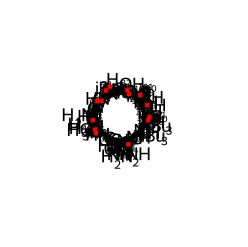 CCCC[C@H]1C(=O)N(C)[C@@H](CCCC)C(=O)N[C@@H](CCCNC(=N)N)C(=O)N[C@H](C(=O)NCC(N)=O)CSCC(=O)N[C@@H](Cc2ccc(O)cc2)C(=O)N(C)[C@@H](C)C(=O)N[C@@H](CC(N)=O)C(=O)N2CCC[C@H]2C(=O)N[C@@H](Cc2ccc[nH]2)C(=O)N[C@@H](CC(C)C)C(=O)N2C[C@H](O)C[C@H]2C(=O)N[C@@H](Cc2c[nH]c3ccccc23)C(=O)N[C@@H](CO)C(=O)N[C@@H](Cc2csc3ccccc23)C(=O)N1C